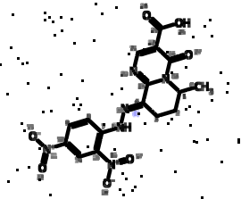 CC1CC/C(=N\Nc2ccc([N+](=O)[O-])cc2[N+](=O)[O-])c2ncc(C(=O)O)c(=O)n21